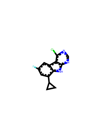 Fc1cc(C2CC2)c2[nH]c3ncnc(Cl)c3c2c1